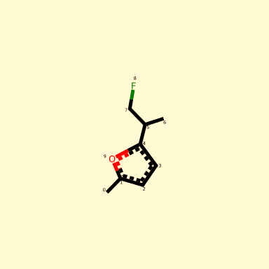 Cc1ccc(C(C)CF)o1